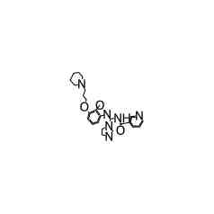 COc1c(/N=C(/NC(=O)c2cccnc2)N2C=NCC2)cccc1OCCCN1CCCCC1